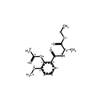 CCOC(=O)[C@H](C)NC(=O)c1nccc(OC)c1OC(C)=O